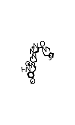 COc1ccc2c(c1)CCN(C1CCN(c3cc(C(=O)N4CCc5ccsc5CC4)ncn3)CC1)C(=O)N2